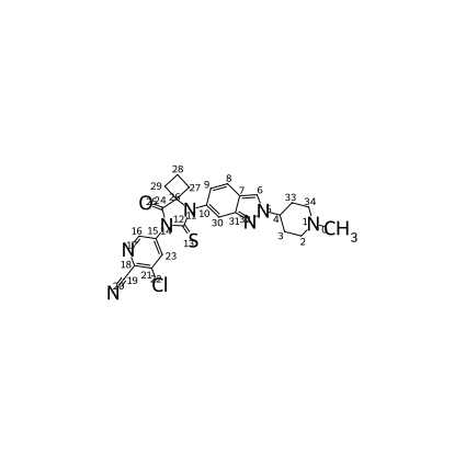 CN1CCC(n2cc3ccc(N4C(=S)N(c5cnc(C#N)c(Cl)c5)C(=O)C45CCC5)cc3n2)CC1